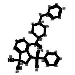 O=C(c1cccc2c1C(S(=O)(=O)c1ccccc1)CS2(O)O)N1CCN(Cc2ccccc2)CC1